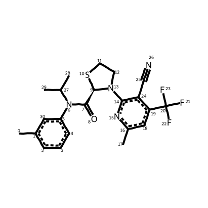 Cc1cccc(N(C(=O)[C@H]2SCCN2c2nc(C)cc(C(F)(F)F)c2C#N)C(C)C)c1